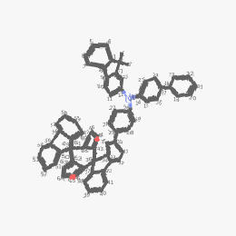 CC1(C)c2ccccc2-c2ccc(N(c3ccc(-c4ccccc4)cc3)c3ccc(-c4ccc5c(c4)C4(c6ccccc6-5)c5ccccc5C5(c6ccccc6-c6ccccc65)c5ccccc54)cc3)cc21